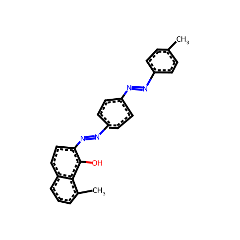 Cc1ccc(N=Nc2ccc(N=Nc3ccc4cccc(C)c4c3O)cc2)cc1